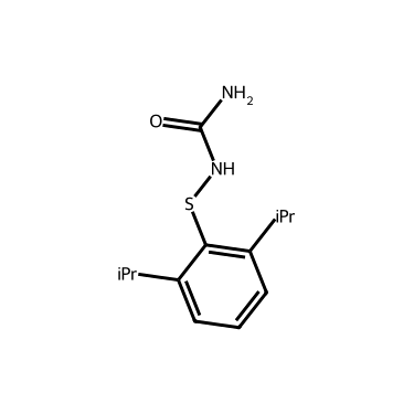 CC(C)c1cccc(C(C)C)c1SNC(N)=O